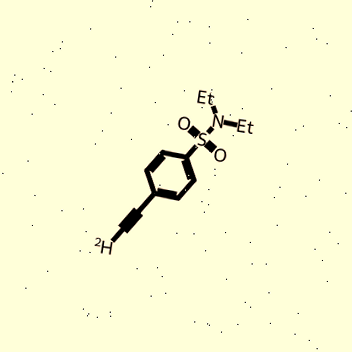 [2H]C#Cc1ccc(S(=O)(=O)N(CC)CC)cc1